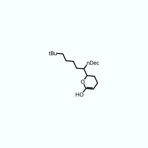 CCCCCCCCCCC(CCCCC(C)(C)C)C1CCC=C(O)O1